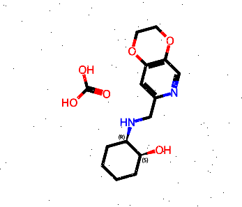 O=C(O)O.O[C@H]1CCCC[C@H]1NCc1cc2c(cn1)OCCO2